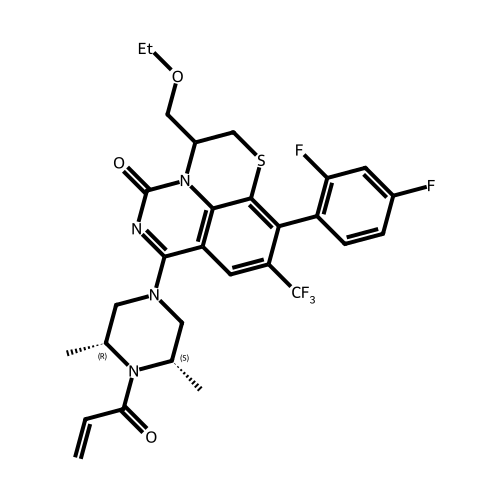 C=CC(=O)N1[C@H](C)CN(c2nc(=O)n3c4c(c(-c5ccc(F)cc5F)c(C(F)(F)F)cc24)SCC3COCC)C[C@@H]1C